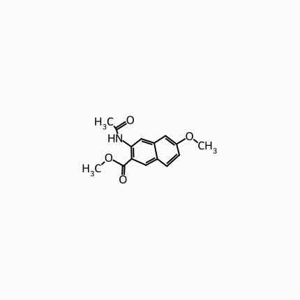 COC(=O)c1cc2ccc(OC)cc2cc1NC(C)=O